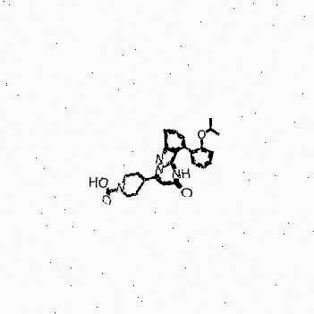 CC(C)Oc1ccccc1-c1cccc2nn3c(C4CCN(C(=O)O)CC4)cc(=O)[nH]c3c12